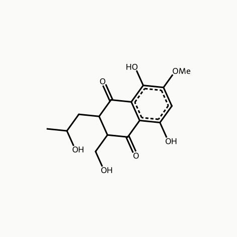 COc1cc(O)c2c(c1O)C(=O)C(CC(C)O)C(CO)C2=O